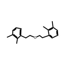 Cc1cccc(CCOCCc2cccc(C)c2C)c1C